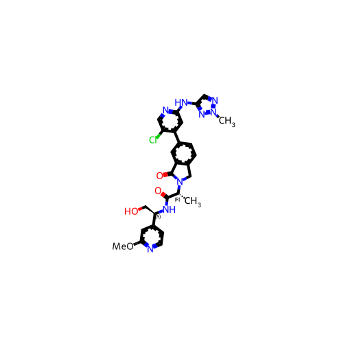 COc1cc([C@@H](CO)NC(=O)[C@@H](C)N2Cc3ccc(-c4cc(Nc5cnn(C)n5)ncc4Cl)cc3C2=O)ccn1